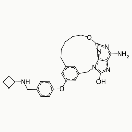 Nc1nc2nc3c1nc(O)n3Cc1cc(cc(Oc3ccc(CNC4CCC4)cc3)c1)CCCCCO2